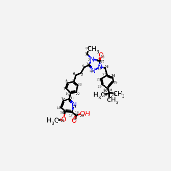 CCn1c(CCCc2ccc(-c3ccc(OC)c(C(=O)O)n3)cc2)nn(Cc2ccc(C(C)(C)C)cc2)c1=O